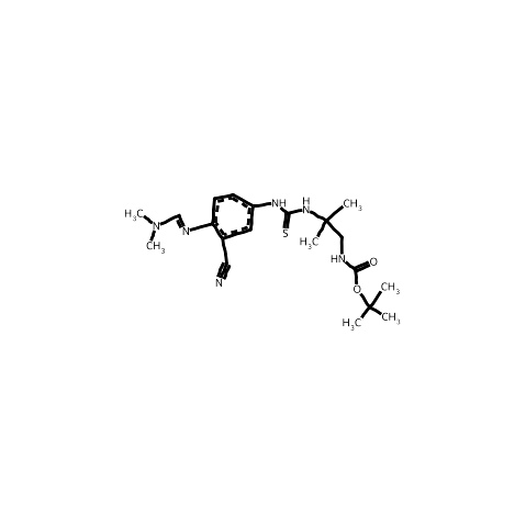 CN(C)/C=N/c1ccc(NC(=S)NC(C)(C)CNC(=O)OC(C)(C)C)cc1C#N